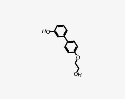 OCCOc1ccc(-c2cccc(O)c2)cc1